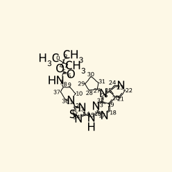 CC(C)(C)OC(=O)NC1CCN(c2nc(Nc3ncc4c5ccncc5n(C5CCCC5)c4n3)ns2)CC1